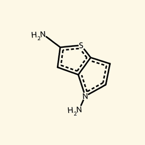 Nc1cc2c(ccn2N)s1